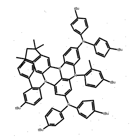 Cc1cc(C(C)(C)C)ccc1N1c2cc(N(c3ccc(C(C)(C)C)cc3)c3ccc(C(C)(C)C)cc3)ccc2B2c3cc4c(cc3N(c3ccc(C(C)(C)C)cc3-c3ccccc3)c3cc(N(c5ccc(C(C)(C)C)cc5)c5ccc(C(C)(C)C)cc5)cc1c32)C(C)(C)CC4(C)C